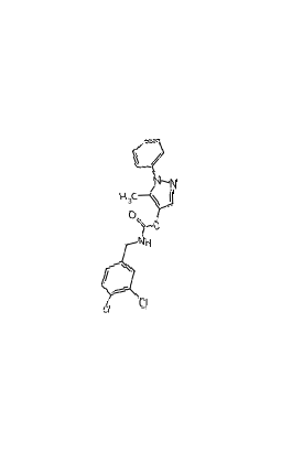 Cc1c(OC(=O)NCc2ccc(Cl)c(Cl)c2)cnn1-c1ccccc1